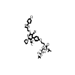 [C-]#[N+]c1c(N2CCCC2)nc(SCc2csc(-c3ccc(Cl)cc3)n2)c(C#N)c1-c1ccc(OCCOC(=O)[C@H](CC(C)C)NC(=O)[C@H](C)NC(=O)OC(C)(C)C)cc1